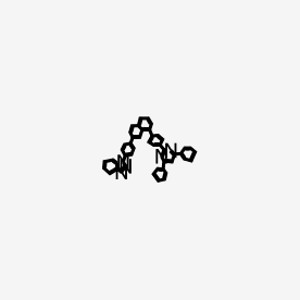 c1ccc(-c2cc(-c3ccccc3)nc(-c3ccc(-c4cccc5ccc(-c6ccc(-n7nnc8ccccc87)cc6)cc45)cc3)n2)cc1